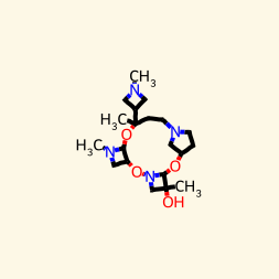 CN1CC(C2(C)CCN3CCC(C3)OC3N(CC3(C)O)OC3CN(C)C3O2)C1